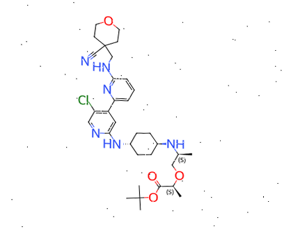 C[C@H](OC[C@H](C)N[C@H]1CC[C@H](Nc2cc(-c3cccc(NCC4(C#N)CCOCC4)n3)c(Cl)cn2)CC1)C(=O)OC(C)(C)C